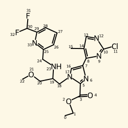 CCOC(=O)c1nc(-c2nc(Cl)ncc2C)cn1CC(COC)NCc1cccc(C(F)F)n1